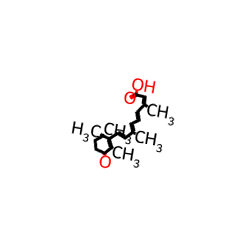 CC(C=CC1=C(C)C(=O)CCC1(C)C)=CC=C/C(C)=C\C(=O)O